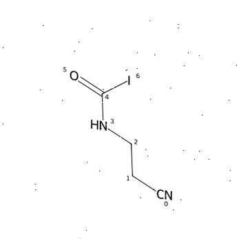 N#CCCNC(=O)I